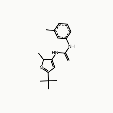 C=C(NC1=CC(C(C)(C)C)=NC1C)Nc1cccc(C)c1